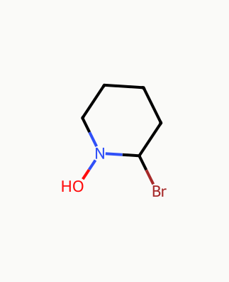 ON1CCCCC1Br